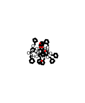 O=C(OCc1ccccc1)N1C[C@H](OCc2ccccc2)[C@H](O[C@H]2O[C@H](C(O)Cc3ccccc3)[C@](O)([C@@H]3O[C@H](COCc4ccccc4)[C@@H](OCc4ccccc4)[C@H](OCc4ccccc4)[C@H]3OCc3ccccc3)[C@@](O)(Cc3ccccc3)[C@]2(O)Cc2ccccc2)[C@@H]1COCc1ccccc1